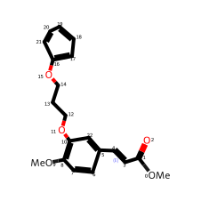 COC(=O)/C=C/c1ccc(OC)c(OCCCOc2ccccc2)c1